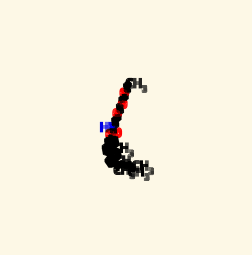 CCCOCCOCCOCCCNC(=O)O[C@H]1CC[C@@]2(C)C(=CCC3C4CCC([C@H](C)CCCC(C)C)[C@@]4(C)CCC32)C1